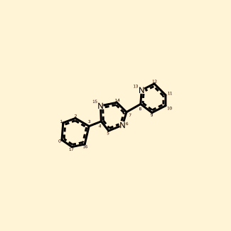 c1ccc(-c2cnc(-c3ccccn3)cn2)cc1